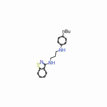 CCCCc1ccc(NCCCNc2nsc3ccccc23)cc1